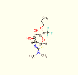 CCCO[C@@H]([C@H]1O[C@@H]2SC(N(C)C)=N[C@@H]2[C@@H](O)[C@@H]1O)C(F)(F)F